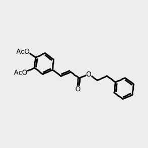 CC(=O)Oc1ccc(/C=C/C(=O)OCCc2ccccc2)cc1OC(C)=O